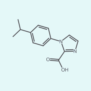 CC(C)c1ccc(-n2ccnc2C(=O)O)cc1